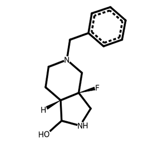 OC1NC[C@@]2(F)CN(Cc3ccccc3)CC[C@@H]12